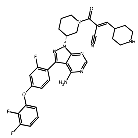 N#CC(=CC1CCNCC1)C(=O)N1CCC[C@@H](n2nc(-c3ccc(Oc4cccc(F)c4F)cc3F)c3c(N)ncnc32)C1